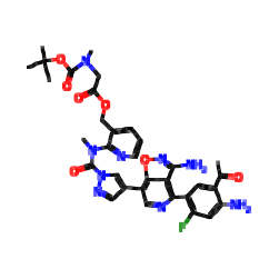 CC(=O)c1cc(-c2ncc(-c3cnn(C(=O)N(C)c4ncccc4COC(=O)CN(C)C(=O)OC(C)(C)C)c3)c3onc(N)c23)c(F)cc1N